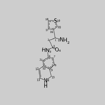 NC(CC(=O)Nc1ccc2c(c1)C=CNC2)c1ccsc1